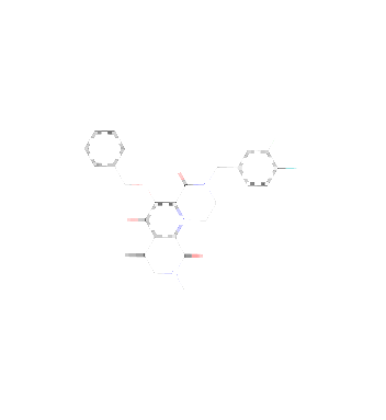 C=C1CN(C)C(=O)c2c1c(=O)c(OCc1ccccc1)c1n2CCN(Cc2ccc(F)c(Cl)c2)C1=O